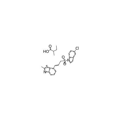 CCC(C)C(=O)O.Cc1nc2cccc(C=CCS(=O)(=O)n3ccc4cc(Cl)ccc43)c2s1